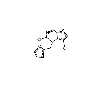 Clc1csc2c1N(Cc1ccco1)C(Cl)N=C2